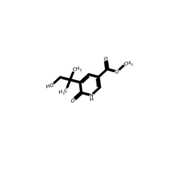 COC(=O)c1c[nH]c(=O)c(C(C)(C)CO)c1